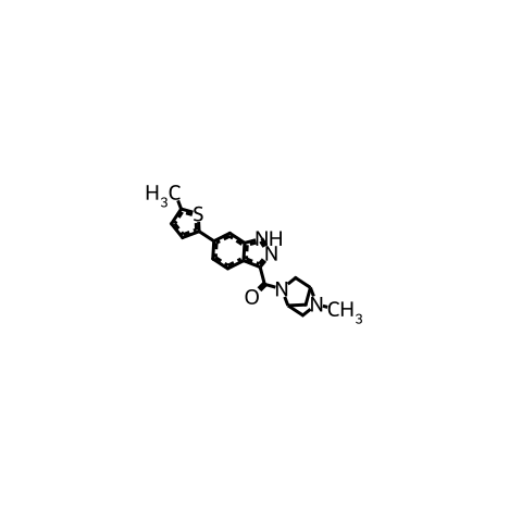 Cc1ccc(-c2ccc3c(C(=O)N4CC5CC4CN5C)n[nH]c3c2)s1